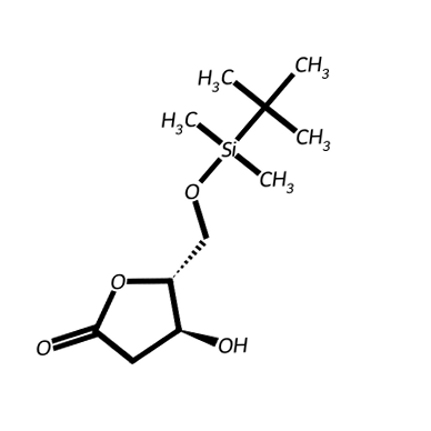 CC(C)(C)[Si](C)(C)OC[C@H]1OC(=O)C[C@@H]1O